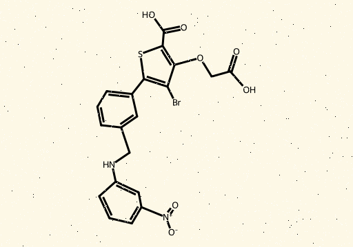 O=C(O)COc1c(C(=O)O)sc(-c2cccc(CNc3cccc([N+](=O)[O-])c3)c2)c1Br